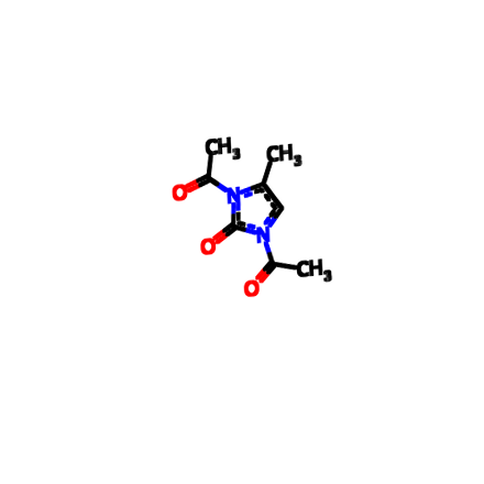 CC(=O)n1cc(C)n(C(C)=O)c1=O